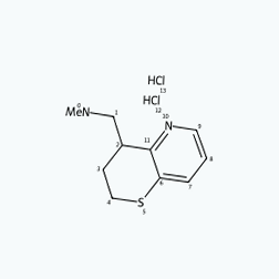 CNCC1CCSc2cccnc21.Cl.Cl